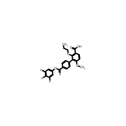 CCCOc1c(C(=O)O)ccc(OC)c1-c1ccc(C(=O)Oc2cc(F)c(F)c(F)c2)cc1